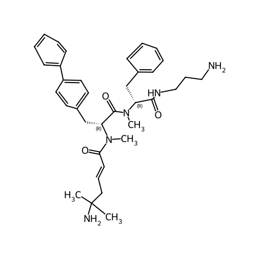 CN(C(=O)C=CCC(C)(C)N)[C@H](Cc1ccc(-c2ccccc2)cc1)C(=O)N(C)[C@H](Cc1ccccc1)C(=O)NCCCN